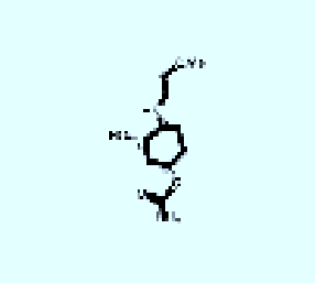 COCCN[C@H]1CC[C@H](OC(N)=O)C[C@@H]1O